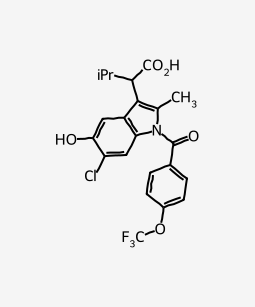 Cc1c(C(C(=O)O)C(C)C)c2cc(O)c(Cl)cc2n1C(=O)c1ccc(OC(F)(F)F)cc1